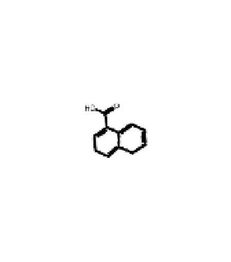 O=C(O)C1=CCC=C2CC=CC=C21